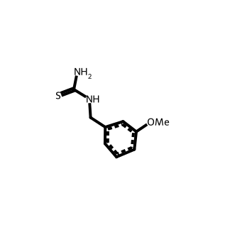 COc1cccc(CNC(N)=S)c1